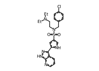 CCN(CC)CCN(Cc1ccc(Cl)cc1)S(=O)(=O)c1c[nH]c(-c2n[nH]c3ncccc23)c1